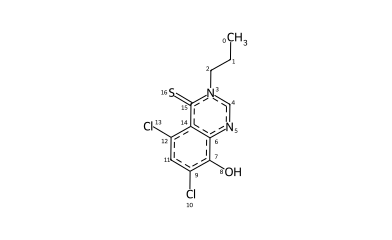 CCCn1cnc2c(O)c(Cl)cc(Cl)c2c1=S